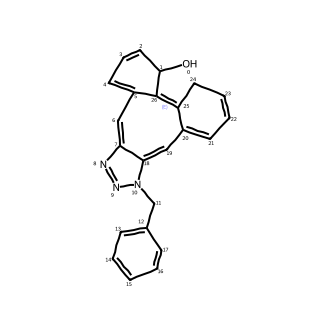 OC1C=CC=C2C=c3nnn(Cc4ccccc4)c3=CC3=CC=CC/C3=C/21